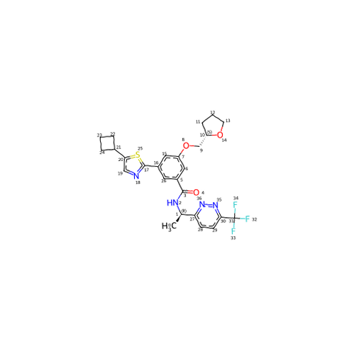 C[C@@H](NC(=O)c1cc(OC[C@@H]2CCCO2)cc(-c2ncc(C3CCC3)s2)c1)c1ccc(C(F)(F)F)nn1